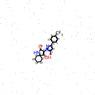 Cc1cc(-c2ccc(C(F)(F)F)cc2)nn1C1=C(O)C2(CCCCC2)NC1=O